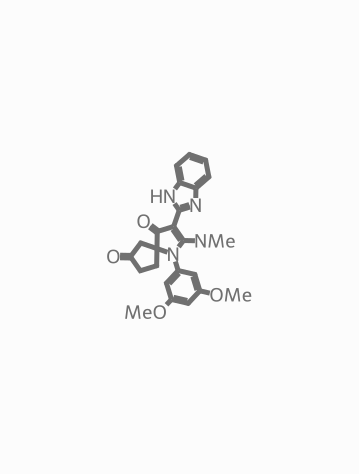 CNC1=C(c2nc3ccccc3[nH]2)C(=O)C2(CCC(=O)C2)N1c1cc(OC)cc(OC)c1